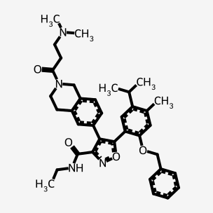 CCNC(=O)c1noc(-c2cc(C(C)C)c(C)cc2OCc2ccccc2)c1-c1ccc2c(c1)CCN(C(=O)CCN(C)C)C2